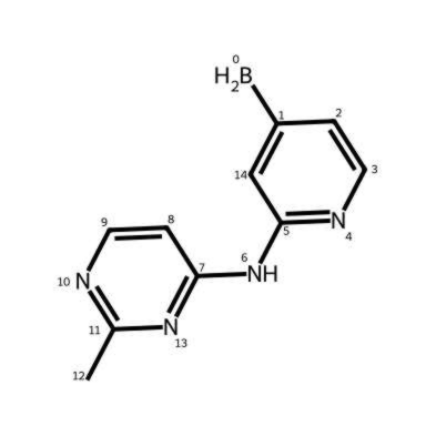 Bc1ccnc(Nc2ccnc(C)n2)c1